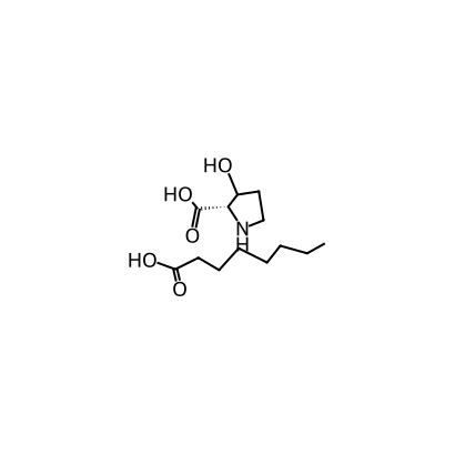 CCCCCCCC(=O)O.O=C(O)[C@H]1NCCC1O